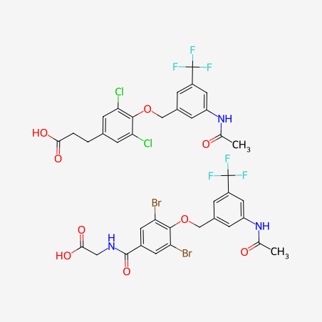 CC(=O)Nc1cc(COc2c(Br)cc(C(=O)NCC(=O)O)cc2Br)cc(C(F)(F)F)c1.CC(=O)Nc1cc(COc2c(Cl)cc(CCC(=O)O)cc2Cl)cc(C(F)(F)F)c1